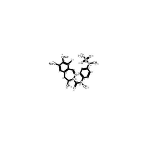 COc1cc2c(c(F)c1OC)C=NN(C(=O)N(C)c1ccc(N(C)S(C)(=O)=O)cc1)C(C)C2